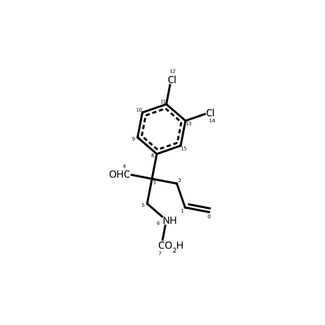 C=CCC(C=O)(CNC(=O)O)c1ccc(Cl)c(Cl)c1